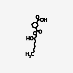 CCCCCCC(O)COC(=O)C1CCCC(C(=O)O)C1